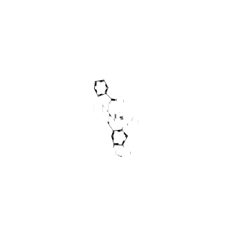 O=C(NN=Cc1cc2c(cc1[N+](=O)[O-])OCO2)c1ccccc1